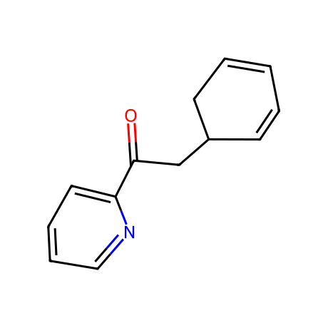 O=C(CC1C=CC=CC1)c1ccccn1